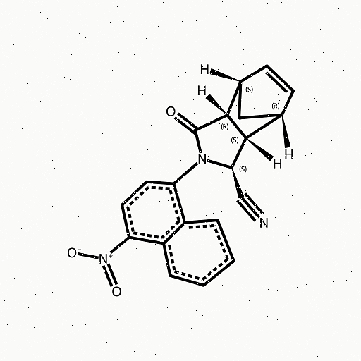 N#C[C@@H]1[C@@H]2[C@H](C(=O)N1c1ccc([N+](=O)[O-])c3ccccc13)[C@@H]1C=C[C@H]2C1